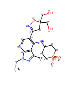 CCn1nc(C)c2c(NC3CCS(=O)(=O)CC3)c(C3=NOC(CO)(CO)C3)cnc21